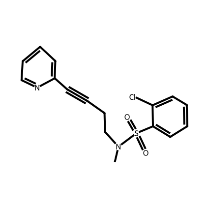 CN(CCC#Cc1ccccn1)S(=O)(=O)c1ccccc1Cl